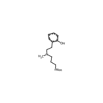 [CH2]CCCCCCCCCCCN(C)CCc1ccccc1O